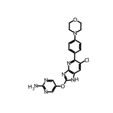 Nc1ncc(Oc2nc3nc(-c4ccc(N5CCOCC5)cc4)c(Cl)cc3[nH]2)cn1